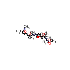 C/C=C/[C@H]1OC(CCC(C)C(C/C=C/C=C(\C)C[C@@H](C)C(O)[C@H](CC)C(O)C(C)/C=C(C)/C=C(/C=O)OC)OC)CCC1C